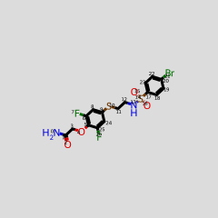 NC(=O)COc1c(F)cc(SCCNS(=O)(=O)c2ccc(Br)cc2)cc1F